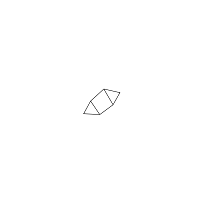 C1C2C1C1CC21